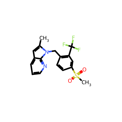 Cc1cc2cccnc2n1Cc1ccc(S(C)(=O)=O)cc1C(F)(F)F